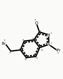 CC(C)n1nc(Cl)c2cc(CBr)ccc21